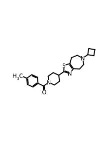 Cc1ccc(C(=O)N2CCC(c3nc4c(s3)CCN(C3CCC3)CC4)CC2)cc1